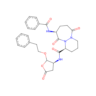 O=C1C[C@H](NC(=O)[C@@H]2CCCN3C(=O)CC[C@H](NC(=O)c4ccccc4)C(=O)N23)C(OCCc2ccccc2)O1